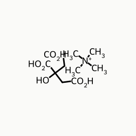 C[N+](C)(C)C.O=C(O)CC(O)(CC(=O)O)C(=O)O